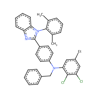 CCc1cc(Cl)c(Cl)c(N(Cc2ccccc2)c2ccc(-c3nc4ccccc4n3-c3c(C)cccc3C)cc2)c1